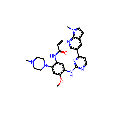 C=CC(=O)Nc1cc(Nc2nccc(-c3cnc4c(ccn4C)c3)n2)c(OC)cc1N1CCN(C)CC1